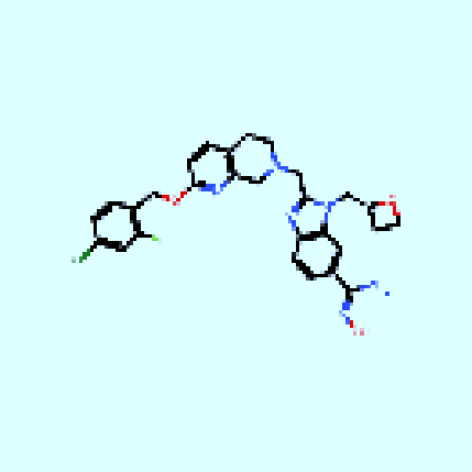 N/C(=N\O)c1ccc2nc(CN3CCc4ccc(OCc5ccc(Cl)cc5F)nc4C3)n(C[C@@H]3CCO3)c2c1